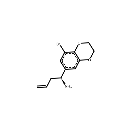 C=CC[C@H](N)c1cc(Br)c2c(c1)OCCO2